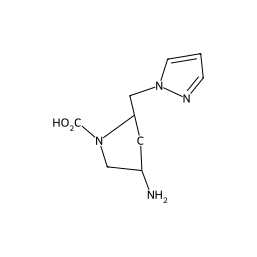 NC1CC(Cn2cccn2)N(C(=O)O)C1